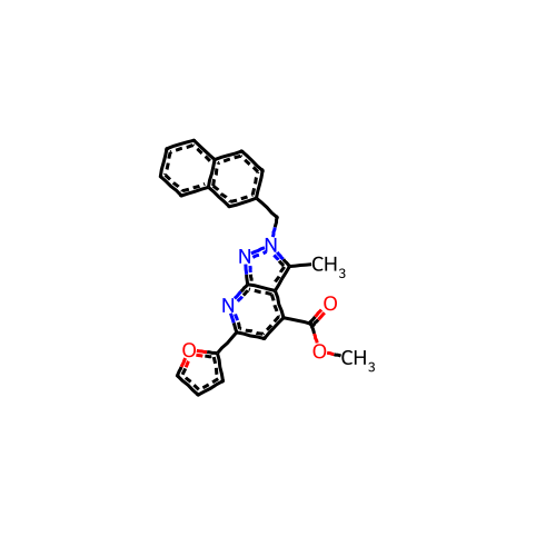 COC(=O)c1cc(-c2ccco2)nc2nn(Cc3ccc4ccccc4c3)c(C)c12